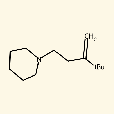 C=C(CCN1CCCCC1)C(C)(C)C